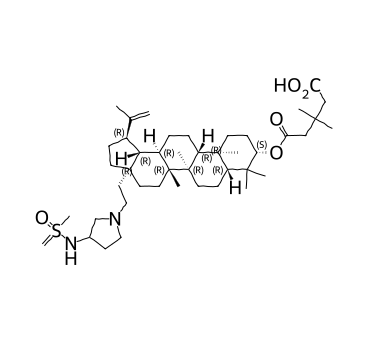 C=C(C)[C@@H]1CC[C@]2(CCN3CCC(NS(=C)(C)=O)C3)CC[C@]3(C)[C@H](CC[C@@H]4[C@@]5(C)CC[C@H](OC(=O)CC(C)(C)CC(=O)O)C(C)(C)[C@@H]5CC[C@]43C)[C@@H]12